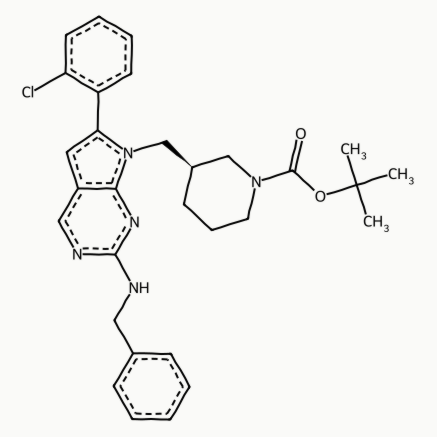 CC(C)(C)OC(=O)N1CCC[C@@H](Cn2c(-c3ccccc3Cl)cc3cnc(NCc4ccccc4)nc32)C1